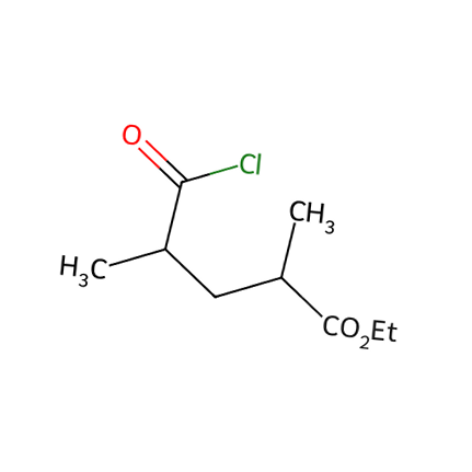 CCOC(=O)C(C)CC(C)C(=O)Cl